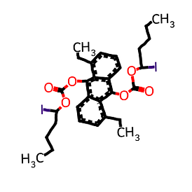 CCCCC(I)OC(=O)Oc1c2cccc(CC)c2c(OC(=O)OC(I)CCCC)c2cccc(CC)c12